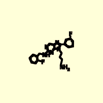 NCCCCn1c(-c2cccc(F)c2)nc2cnc(NCc3ccccc3F)nc21